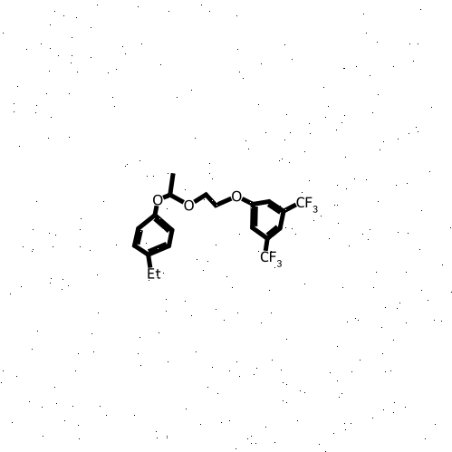 CCc1ccc(OC(C)OCCOc2cc(C(F)(F)F)cc(C(F)(F)F)c2)cc1